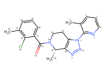 Cc1cccnc1-n1nnc2c1CCN(C(=O)c1cccc(C)c1Cl)[C@H]2C